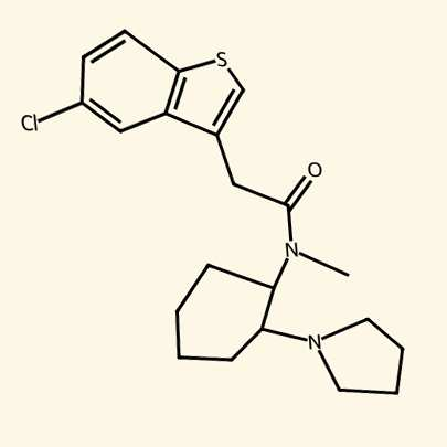 CN(C(=O)Cc1csc2ccc(Cl)cc12)C1CCCCC1N1CCCC1